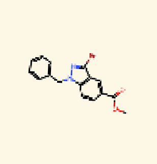 COC(=O)c1ccc2c(c1)c(Br)nn2Cc1ccccc1